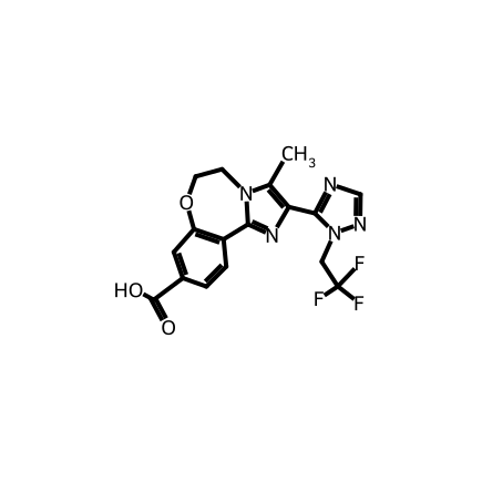 Cc1c(-c2ncnn2CC(F)(F)F)nc2n1CCOc1cc(C(=O)O)ccc1-2